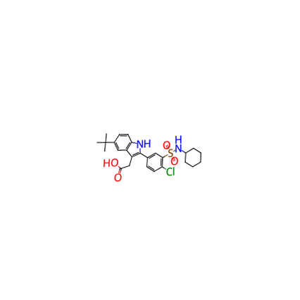 CC(C)(C)c1ccc2[nH]c(-c3ccc(Cl)c(S(=O)(=O)NC4CCCCC4)c3)c(CC(=O)O)c2c1